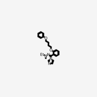 CCN(C)N=C(c1ccccc1OCCCCOc1ccccc1)n1ccnc1